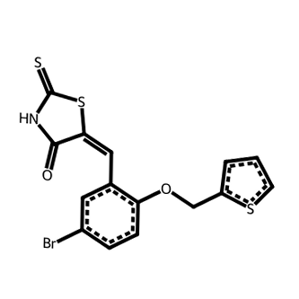 O=C1NC(=S)SC1=Cc1cc(Br)ccc1OCc1cccs1